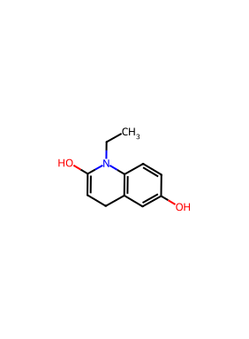 CCN1C(O)=CCc2cc(O)ccc21